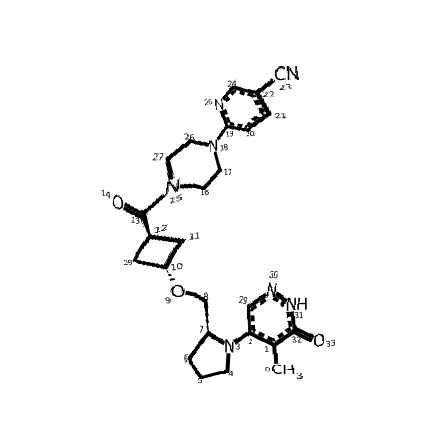 Cc1c(N2CCC[C@H]2CO[C@H]2C[C@H](C(=O)N3CCN(c4ccc(C#N)cn4)CC3)C2)cn[nH]c1=O